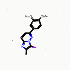 COc1ccc(-c2ccc3nc(C)c(I)n3n2)cc1OC